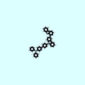 c1ccc(N(c2ccccc2)c2ccc(-c3ccc(-n4c5ccccc5c5cc(-c6cccc7c6sc6ccccc67)ccc54)cc3)cc2)cc1